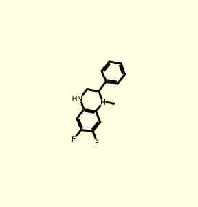 CN1c2cc(F)c(F)cc2NCC1c1ccccc1